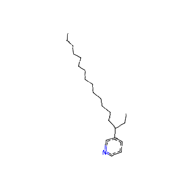 CCCCCCCCCCCCCCC(CC)c1cccnc1